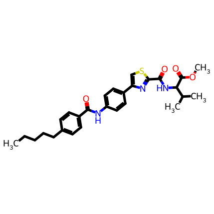 CCCCCc1ccc(C(=O)Nc2ccc(-c3csc(C(=O)NC(C(=O)OC)C(C)C)n3)cc2)cc1